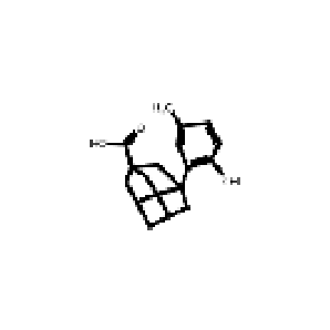 Cc1ccc(O)c(C23CC4CC5CC(C(=O)O)(C2)CC543)c1